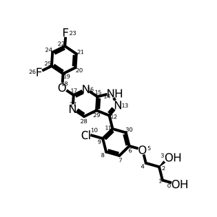 OC[C@H](O)COc1ccc(Cl)c(-c2n[nH]c3nc(Oc4ccc(F)cc4F)ncc23)c1